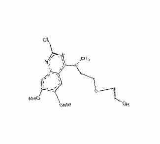 COc1cc2nc(Cl)nc(N(C)CCOCCO)c2cc1OC